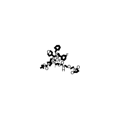 C[C@@H](COC(=O)NCCOCCN1C(=O)C=CC1=O)NC(=O)N(CC1CCN(C(=O)OC(C)(C)C)C1)[C@@H](c1nc(-c2cc(F)ccc2F)cn1Cc1ccccc1)C1CCOCC1